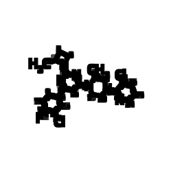 CC1CCN1c1nc(-c2ccc(F)c(Cl)c2)cc(N2CCN(c3ncccc3Cl)C[C@H]2C)n1